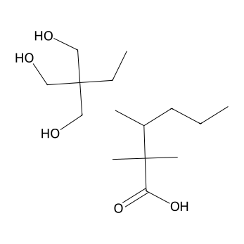 CCC(CO)(CO)CO.CCCC(C)C(C)(C)C(=O)O